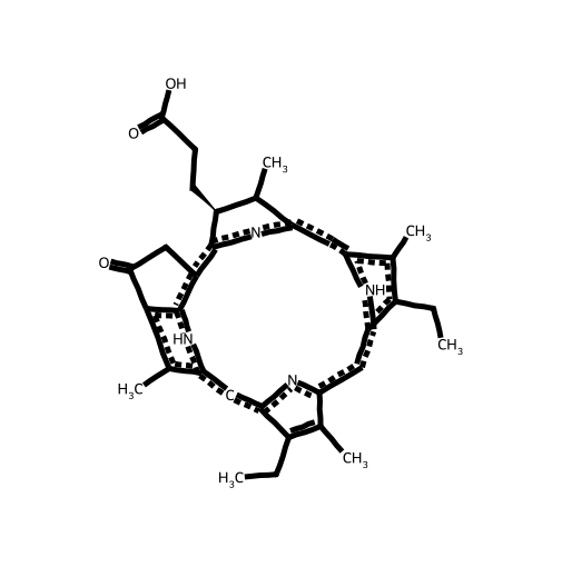 CCC1=C(C)c2cc3[nH]c(cc4nc(c5c6[nH]c(cc1n2)c(C)c6C(=O)C5)[C@@H](CCC(=O)O)C4C)c(C)c3CC